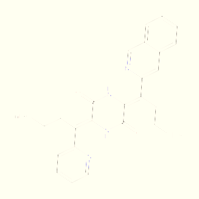 CCCCCCCCCCCC/C(c1ccccn1)=c1/[nH]c(=O)/c(=C(\CCCCCCCCCCCC)c2cc3ccccc3cn2)[nH]c1=O